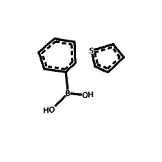 OB(O)c1ccccc1.c1ccsc1